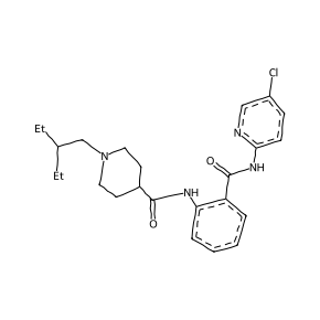 CCC(CC)CN1CCC(C(=O)Nc2ccccc2C(=O)Nc2ccc(Cl)cn2)CC1